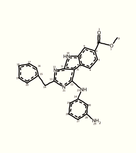 COC(=O)c1ccc2c(c1)[nH]c1nc(Cc3ccccc3)nc(Nc3cccc(N)c3)c12